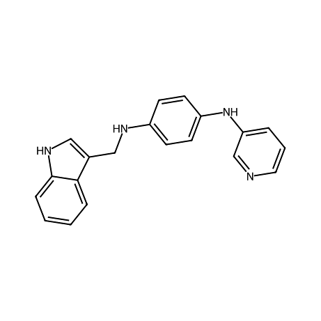 c1cncc(Nc2ccc(NCc3c[nH]c4ccccc34)cc2)c1